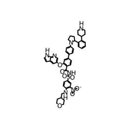 O=C(NS(=O)(=O)c1ccc(NCC2CCOCC2)c([N+](=O)[O-])c1)c1ccc(-c2ccc(N3CCCC3c3ccccc3C3CCNCC3)cc2)cc1Oc1cnc2[nH]ccc2c1